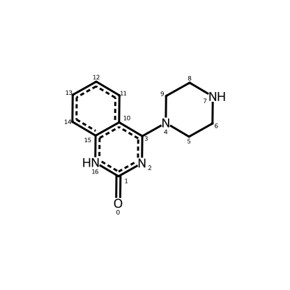 O=c1nc(N2CCNCC2)c2ccccc2[nH]1